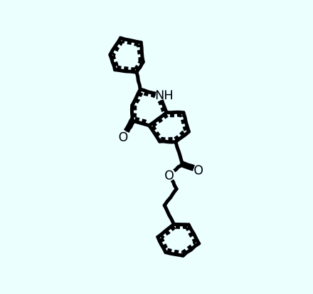 O=C(OCCc1ccccc1)c1ccc2[nH]c(-c3ccccc3)cc(=O)c2c1